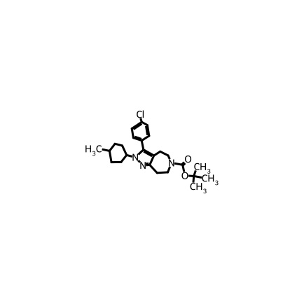 CC1CCC(n2nc3c(c2-c2ccc(Cl)cc2)CCN(C(=O)OC(C)(C)C)CC3)CC1